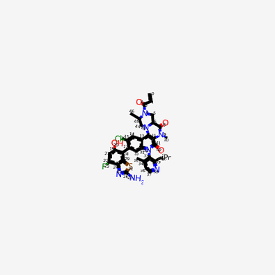 C=CC(=O)N1CC2C(=O)N(C)c3c(c4cc(Cl)c(-c5c(O)cc(F)c6nc(N)sc56)cc4n(-c4c(C)ccnc4C(C)C)c3=O)N2CC1C